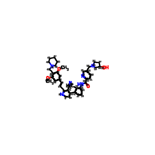 COc1cc(/C=C/c2nccc(-c3cccc(NC(=O)c4ccc(CN5CC[C@@H](O)C5)cn4)c3C)c2C#N)cc(OC)c1CN1CCCCC1